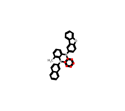 Cc1cccc(N(c2ccccc2)c2ccc3oc4ccccc4c3c2)c1N(c1ccccc1)c1ccc2ccccc2c1